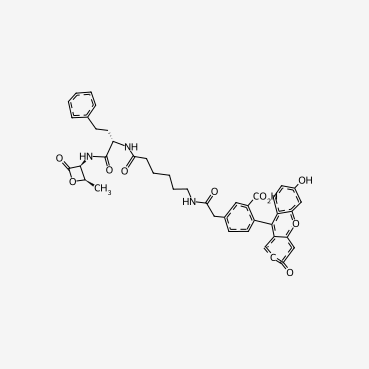 C[C@H]1OC(=O)[C@H]1NC(=O)[C@H](CCc1ccccc1)NC(=O)CCCCCNC(=O)Cc1ccc(-c2c3ccc(=O)cc-3oc3cc(O)ccc23)c(C(=O)O)c1